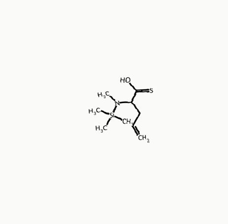 C=CCC(C(O)=S)N(C)[Si](C)(C)C